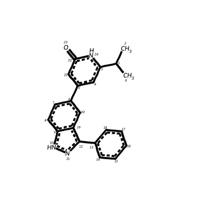 CC(C)c1cc(-c2ccc3[nH]nc(-c4ccccc4)c3c2)cc(=O)[nH]1